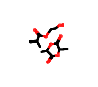 C=C(C)C(=O)OCCO.CC1OC(=O)C(C)OC1=O